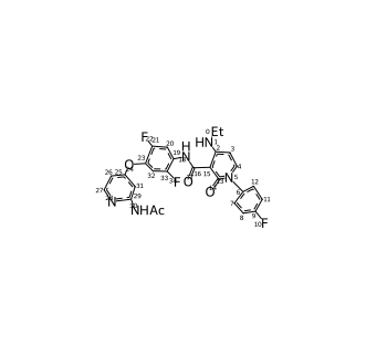 CCNc1ccn(-c2ccc(F)cc2)c(=O)c1C(=O)Nc1cc(F)c(Oc2ccnc(NC(C)=O)c2)cc1F